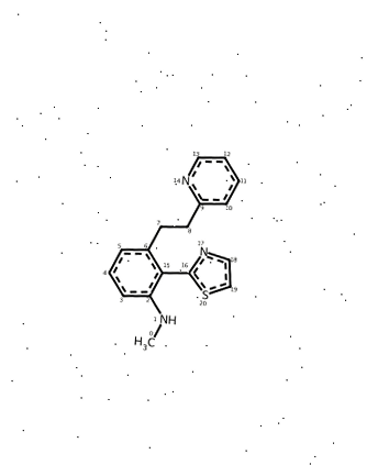 CNc1cccc(CCc2ccccn2)c1-c1nccs1